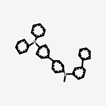 CN(c1ccc(-c2ccc(N(c3ccccc3)c3ccccc3)cc2)cc1)c1cccc(-c2ccccc2)c1